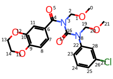 COCN(C(=O)c1ccc2c(c1)OCCO2)C(=O)N(COC)c1cccc(Cl)c1